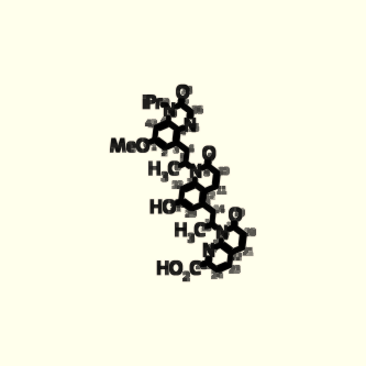 COc1cc(CC(C)n2c(=O)ccc3c(CC(C)n4c(=O)ccc5ccc(C(=O)O)nc54)cc(O)cc32)c2ncc(=O)n(C(C)C)c2c1